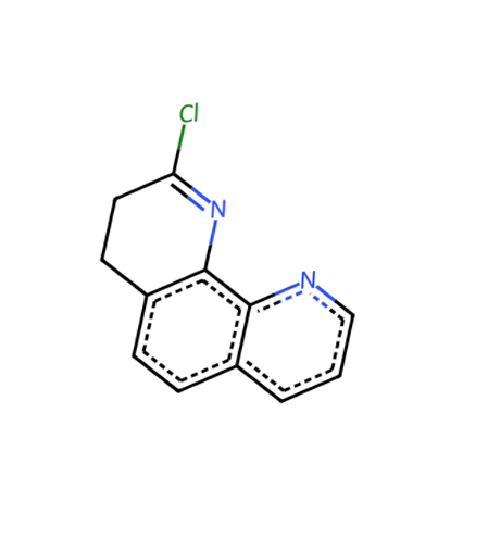 ClC1=Nc2c(ccc3cccnc23)CC1